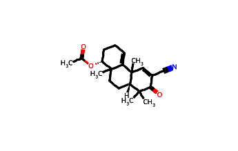 CC(=O)O[C@@H]1CCC=C2C3(C)C=C(C#N)C(=O)C(C)(C)[C@@H]3CCC21C